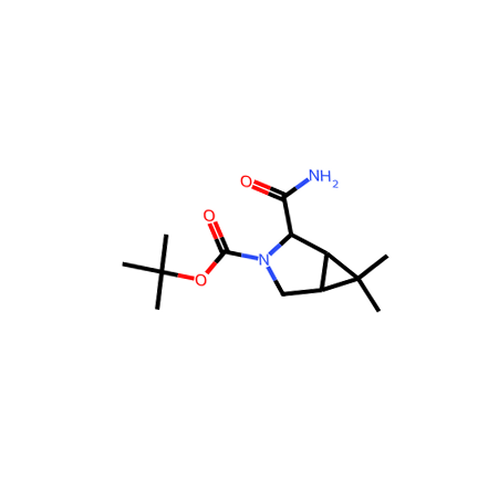 CC(C)(C)OC(=O)N1CC2C(C1C(N)=O)C2(C)C